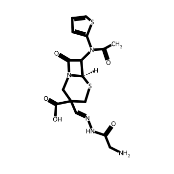 CC(=O)N(c1cccs1)C1C(=O)N2CC(C=NNC(=O)CN)(C(=O)O)CS[C@H]12